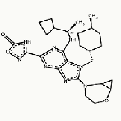 C[C@@H](Nc1nc(-c2noc(=O)[nH]2)nc2nc(N3CCOC4CC43)n(C[C@H]3CC[C@H](C)CC3)c12)C1CCC1